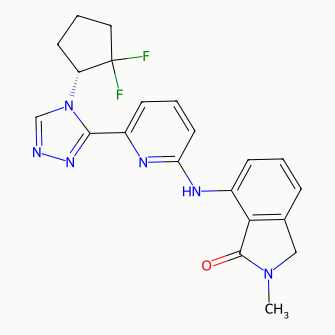 CN1Cc2cccc(Nc3cccc(-c4nncn4[C@@H]4CCCC4(F)F)n3)c2C1=O